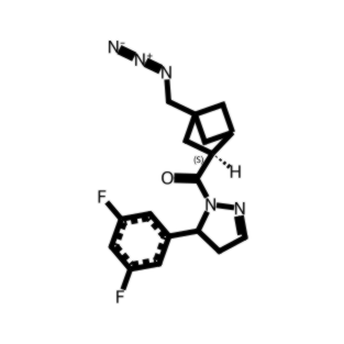 [N-]=[N+]=NCC12CC(C1)[C@@H](C(=O)N1N=CCC1c1cc(F)cc(F)c1)C2